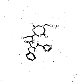 CC(C)C[C@H](NC(=O)[C@H](Cc1ccccc1)NC(=O)c1cnccn1)B1OC(=O)CN(CC(=O)O)CC(=O)O1